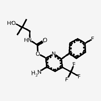 CC(C)(O)CNC(=O)Oc1nc(-c2ccc(F)cc2)c(C(F)(F)F)cc1N